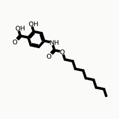 CCCCCCCCCOC(=O)Nc1ccc(C(=O)O)c(O)c1